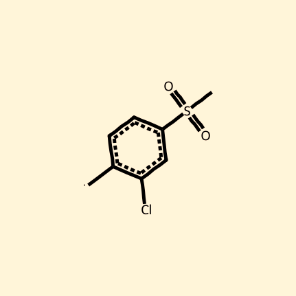 [CH2]c1ccc(S(C)(=O)=O)cc1Cl